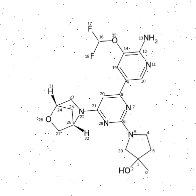 CC1(O)CCN(c2nc(-c3cnc(N)c(OC(F)F)c3)cc(N3C[C@@H]4C[C@H]3CO4)n2)C1